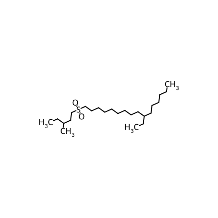 CCCCCCC(CC)CCCCCCCCCS(=O)(=O)CCC(C)CC